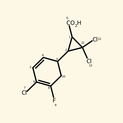 O=C(O)C1C(C2C=CC(Cl)=C(F)C2)C1(Cl)Cl